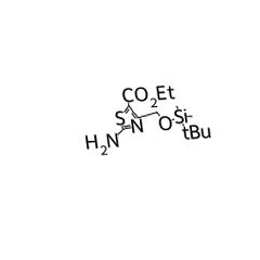 CCOC(=O)c1sc(N)nc1CO[Si](C)(C)C(C)(C)C